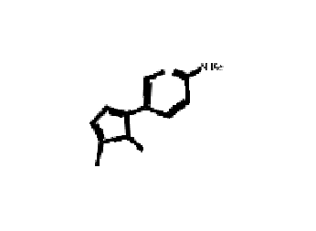 C=C(/C=C\C(=C/C)C1=CC=C(C)C1C)NC(C)=O